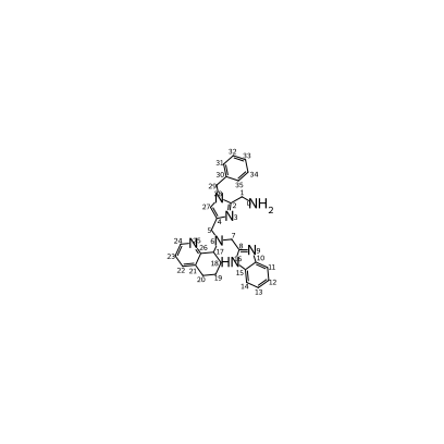 NCc1nc(CN(Cc2nc3ccccc3[nH]2)C2CCCc3cccnc32)cn1Cc1ccccc1